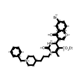 CCOC(=O)C1=C(C)N(CCCC2CCN(Cc3ccccc3)CC2)C(=O)NC1c1coc2ccc(Br)cc2c1=O